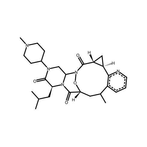 CC(C)C[C@H]1C(=O)N(C2CCN(C)CC2)CC2N3O[C@H](CC(C)c4cccnc4[C@@H]4C[C@H]4C3=O)C(=O)N21